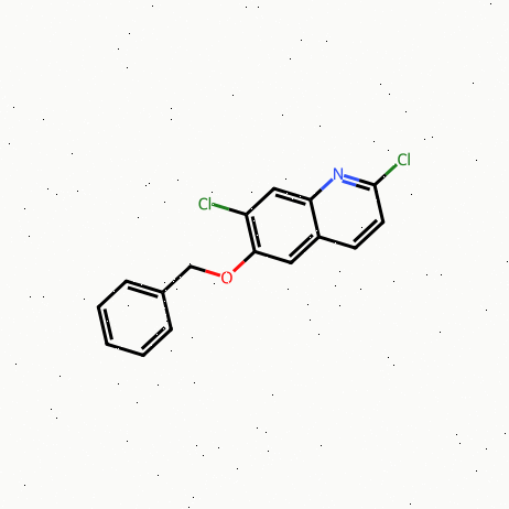 Clc1ccc2cc(OCc3ccccc3)c(Cl)cc2n1